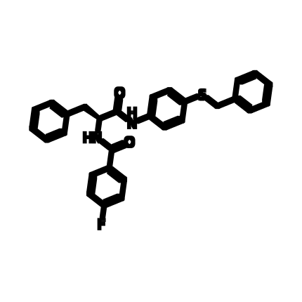 O=C(N[C@@H](Cc1ccccc1)C(=O)Nc1ccc(SCc2ccccc2)cc1)c1ccc(F)cc1